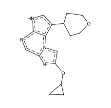 c1[nH]c2ncc3nc(OC4CC4)cn3c2c1C1CCOCC1